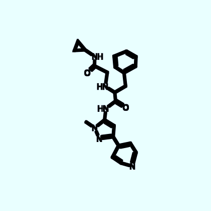 Cn1nc(-c2ccncc2)cc1NC(=O)C(Cc1ccccc1)NCC(=O)NC1CC1